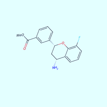 COC(=O)c1cccc([C@H]2C[C@@H](N)c3cccc(F)c3O2)c1